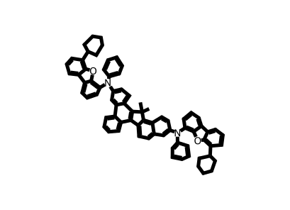 CC1(C)c2c(ccc3cc(N(c4ccccc4)c4cccc5c4oc4c(C6CCCCC6)cccc45)ccc23)-c2c1c1ccc(N(c3ccccc3)c3cccc4c3oc3c(C5CCCCC5)cccc34)cc1c1ccccc21